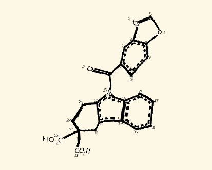 O=C(c1ccc2c(c1)OCO2)n1c2c(c3ccccc31)CC(C(=O)O)(C(=O)O)CC2